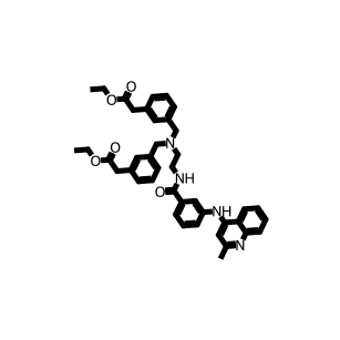 CCOC(=O)Cc1cccc(CN(CCNC(=O)c2cccc(Nc3cc(C)nc4ccccc34)c2)Cc2cccc(CC(=O)OCC)c2)c1